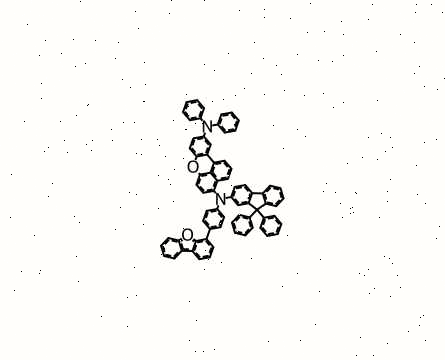 c1ccc(N(c2ccccc2)c2ccc3c(c2)-c2cccc4c(N(c5ccc(-c6cccc7c6oc6ccccc67)cc5)c5ccc6c(c5)C(c5ccccc5)(c5ccccc5)c5ccccc5-6)ccc(c24)O3)cc1